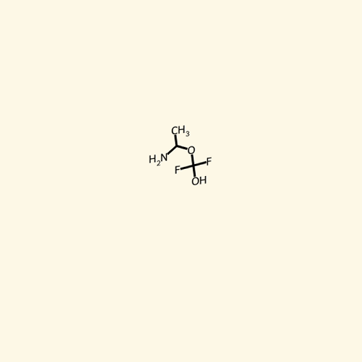 CC(N)OC(O)(F)F